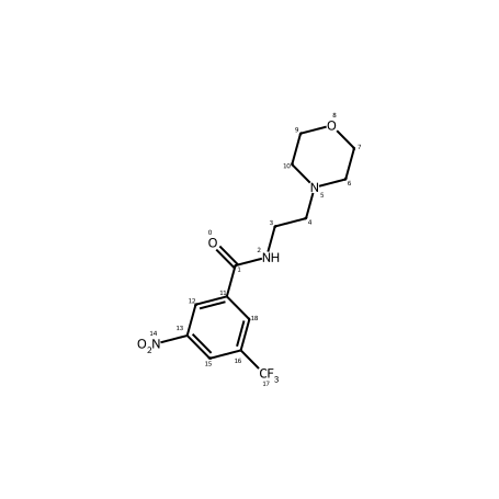 O=C(NCCN1CCOCC1)c1cc([N+](=O)[O-])cc(C(F)(F)F)c1